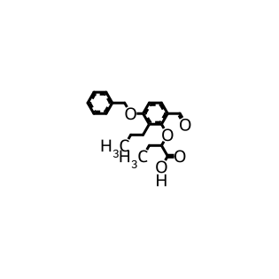 CCCc1c(OCc2ccccc2)ccc(C=O)c1OC(CC)C(=O)O